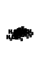 CSc1c(C)c(C)c(-c2c(C)c(C)c(SC(C)C)c(F)c2F)c(F)c1F